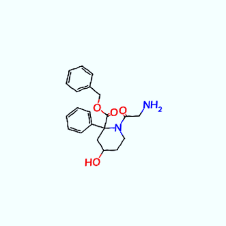 NCC(=O)N1CCC(O)CC1(C(=O)OCc1ccccc1)c1ccccc1